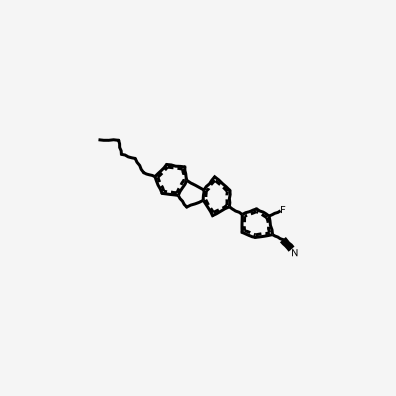 CCCCCc1ccc2c(c1)Cc1cc(-c3ccc(C#N)c(F)c3)ccc1-2